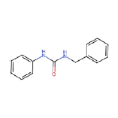 O=C(NCc1ccccc1)Nc1c[c]ccc1